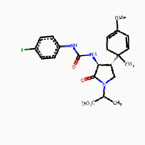 CCOC(=O)C(C)N1C[C@@H](C2(C)C=CC(OC)=CC2)[C@H](NC(=O)Nc2ccc(F)cc2)C1=O